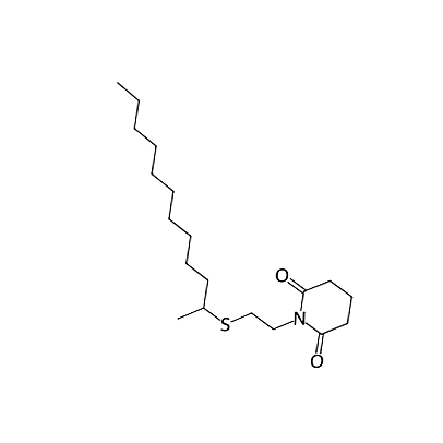 CCCCCCCCCCC(C)SCCN1C(=O)CCCC1=O